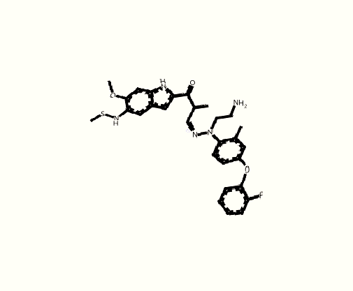 COc1cc2[nH]c(C(=O)C(C)/C=N\N(CCN)c3ccc(Oc4ccccc4F)cc3C)cc2cc1NSC